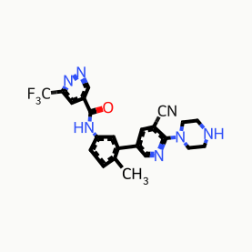 Cc1ccc(NC(=O)c2cnnc(C(F)(F)F)c2)cc1-c1cnc(N2CCNCC2)c(C#N)c1